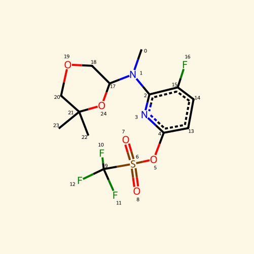 CN(c1nc(OS(=O)(=O)C(F)(F)F)ccc1F)C1COCC(C)(C)O1